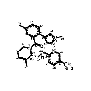 CC1=CCCN(C(=O)c2cc(C)ccc2-c2cnn(C)c2)[C@@H]1CNc1ccc(C(F)(F)F)cn1